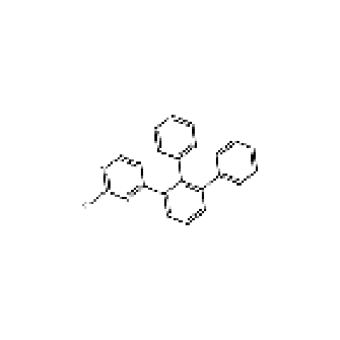 Clc1nccc(-c2cccc(-c3ccccc3)c2-c2ccccc2)n1